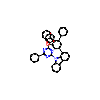 c1ccc(-c2nc(-c3ccccc3)nc(-n3c4ccccc4c4cccc(-c5cc(-c6ccccc6)c6c(c5)oc5ccccc56)c43)n2)cc1